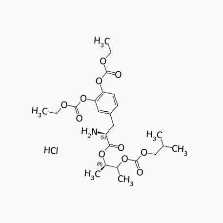 CCOC(=O)Oc1ccc(C[C@H](N)C(=O)O[C@H](C)C(C)OC(=O)OCC(C)C)cc1OC(=O)OCC.Cl